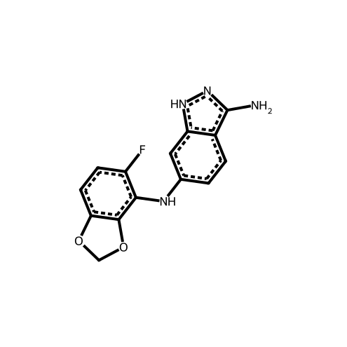 Nc1n[nH]c2cc(Nc3c(F)ccc4c3OCO4)ccc12